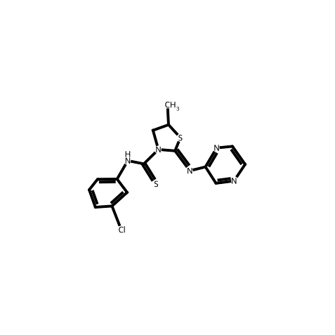 CC1CN(C(=S)Nc2cccc(Cl)c2)C(=Nc2cnccn2)S1